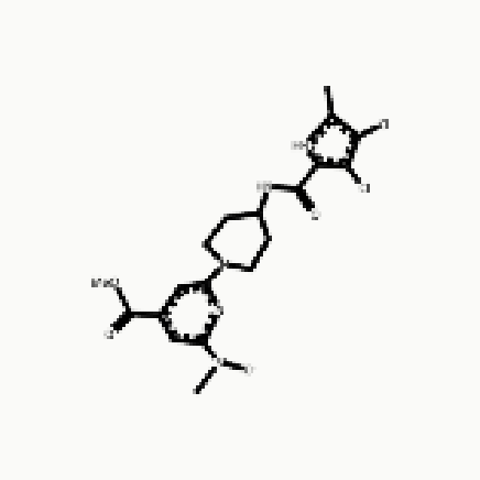 COC(=O)c1cc(N2CCC(NC(=O)c3[nH]c(C)c(Cl)c3Cl)CC2)nc([S+](C)[O-])c1